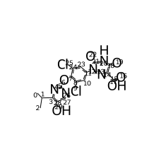 CC(C)c1nc(Oc2c(Cl)cc(-n3nc(C(=O)O)c(=O)[nH]c3=O)cc2Cl)ncc1O